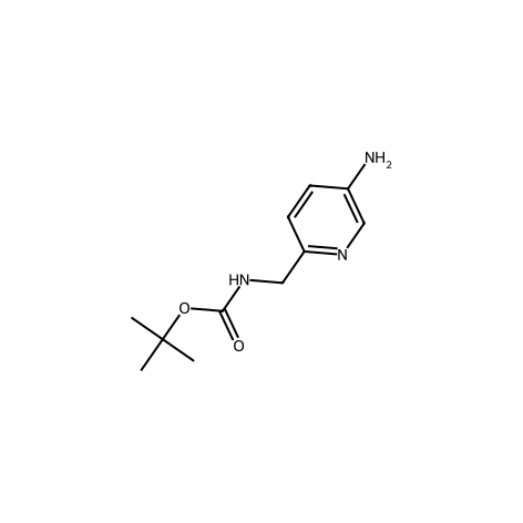 CC(C)(C)OC(=O)NCc1ccc(N)cn1